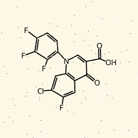 O=C(O)c1cn(-c2ccc(F)c(F)c2F)c2cc(Cl)c(F)cc2c1=O